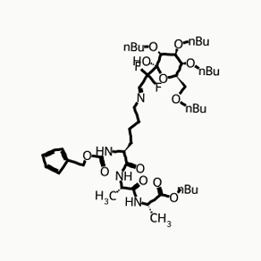 CCCCOC[C@H]1O[C@@](O)(C(F)(F)/C=N/CCCC[C@H](NC(=O)OCc2ccccc2)C(=O)N[C@@H](C)C(=O)N[C@@H](C)C(=O)OCCCC)[C@H](OCCCC)[C@@H](OCCCC)[C@H]1OCCCC